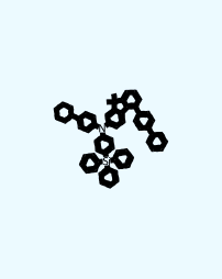 CC1(C)c2cc(N(c3ccc(C4CCCCC4)cc3)c3ccc([Si](c4ccccc4)(c4ccccc4)c4ccccc4)cc3)ccc2-c2c(-c3ccc(-c4ccccc4)cc3)cccc21